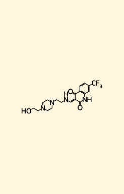 O=C1Nc2cc(C(F)(F)F)ccc2C(=O)/C1=C\NCCN1CCN(CCO)CC1